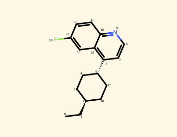 C[CH][C@H]1CC[C@H](c2ccnc3ccc(F)cc32)CC1